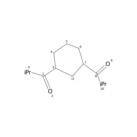 CC(C)C(=O)C1CCCC(C(=O)C(C)C)C1